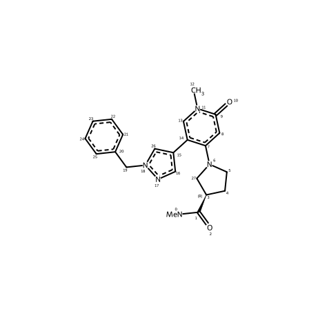 CNC(=O)[C@@H]1CCN(c2cc(=O)n(C)cc2-c2cnn(Cc3ccccc3)c2)C1